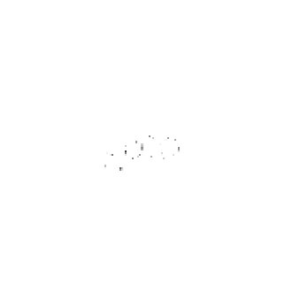 CC(C)(C)NS(=O)(=O)c1ccc(Nc2ccc(CCO)cc2)c([N+](=O)[O-])c1